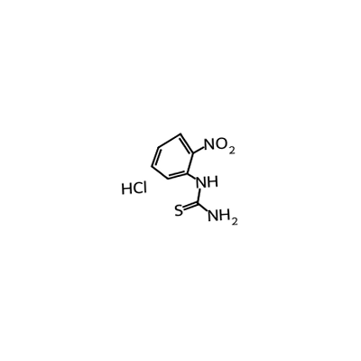 Cl.NC(=S)Nc1ccccc1[N+](=O)[O-]